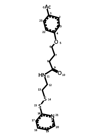 CC(=O)c1ccc(OCCCC(=O)NCCSSc2ccccn2)cc1